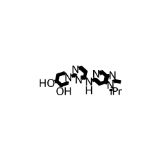 Cc1nc2cnc(Nc3ccnc(N4CCC(O)C(O)C4)n3)cc2n1C(C)C